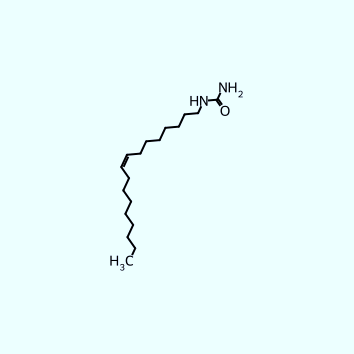 CCCCCCCC/C=C\CCCCCCCNC(N)=O